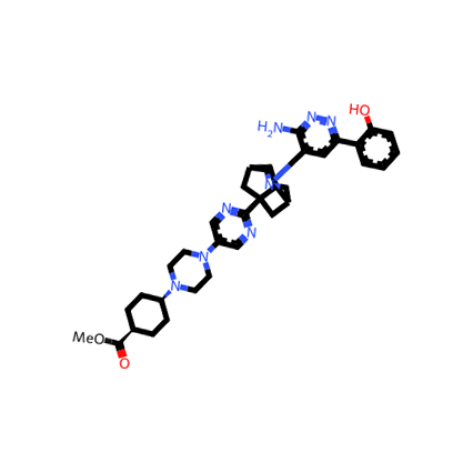 COC(=O)[C@H]1CC[C@@H](N2CCN(c3cnc(C45CC6CC4C(CN(c4cc(-c7ccccc7O)nnc4N)C6)C5)nc3)CC2)CC1